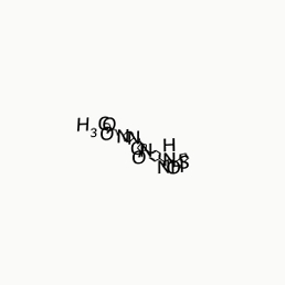 COC(=O)CCN1CCN(CC2CN(c3ccc(C(=N)NC(=O)c4cccs4)cc3)C(=O)O2)CC1